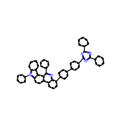 c1ccc(-c2nc(-c3ccccc3)nc(-c3ccc(-c4ccc(-c5cccc6c5nc(-c5ccccc5)c5c6ccc6c5c5ccccc5n6-c5ccccc5)cc4)cc3)n2)cc1